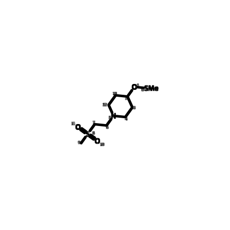 CSOC1CCN(CCS(C)(=O)=O)CC1